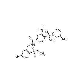 CCS(=O)(=O)c1ccc(Cl)cc1CNC(=O)c1ccc(C(C)(C)N2CCCC(N)C2)c(C(F)(F)F)c1